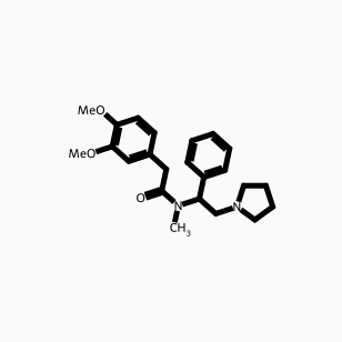 COc1ccc(CC(=O)N(C)C(CN2CCCC2)c2ccccc2)cc1OC